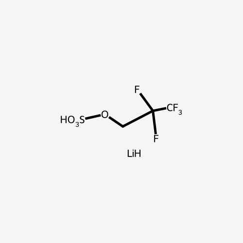 O=S(=O)(O)OCC(F)(F)C(F)(F)F.[LiH]